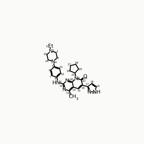 CCN1CCN(c2ccc(Nc3nc(C)c4cc(-c5cc[nH]n5)c(=O)n(C5CCCC5)c4n3)cc2)CC1